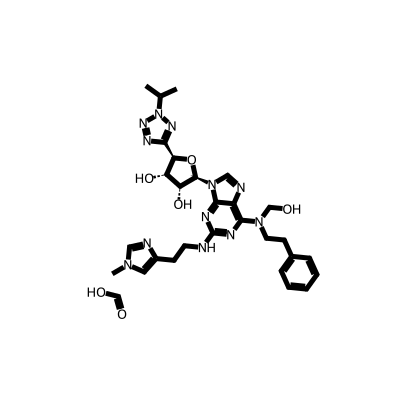 CC(C)n1nnc([C@H]2O[C@@H](n3cnc4c(N(CO)CCc5ccccc5)nc(NCCc5cn(C)cn5)nc43)[C@H](O)[C@@H]2O)n1.O=CO